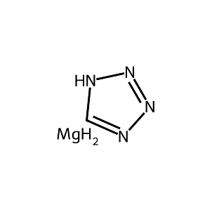 [MgH2].c1nnn[nH]1